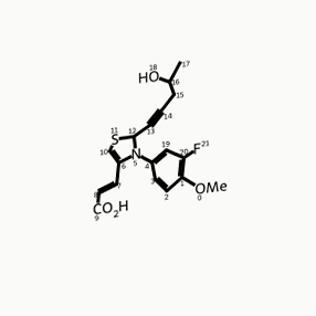 COc1ccc(N2C(/C=C/C(=O)O)=CSC2C#CCC(C)O)cc1F